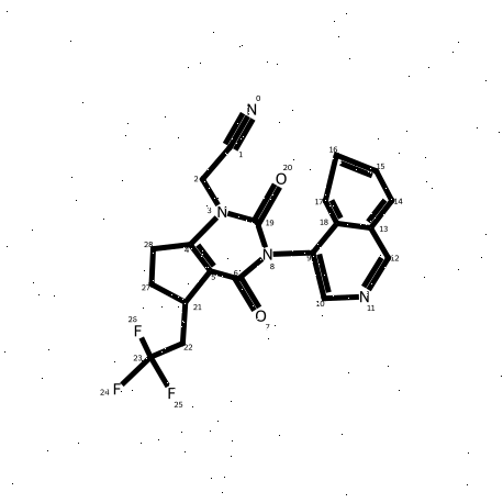 N#CCn1c2c(c(=O)n(-c3cncc4ccccc34)c1=O)C(CC(F)(F)F)CC2